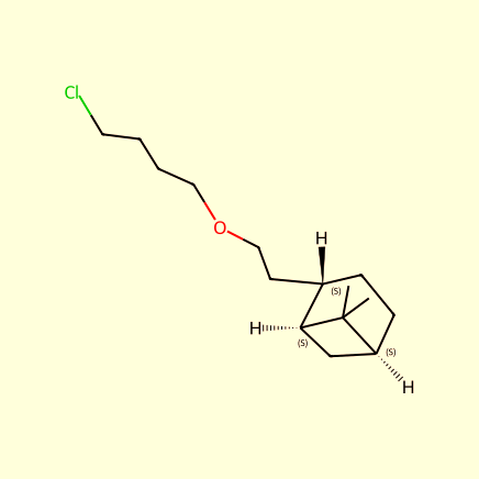 CC1(C)[C@H]2CC[C@@H](CCOCCCCCl)[C@@H]1C2